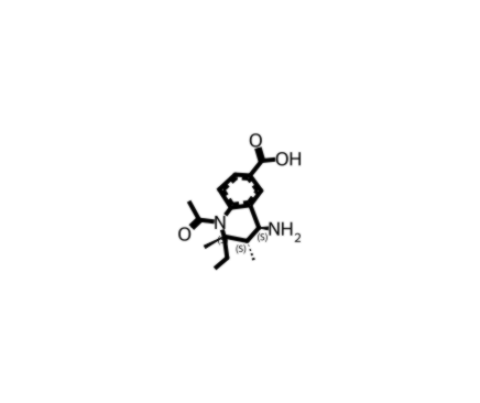 CC[C@@]1(C)[C@@H](C)[C@H](N)c2cc(C(=O)O)ccc2N1C(C)=O